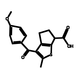 COc1ccc(C(=O)c2c(C)sc3c2CCC3C(=O)O)cc1